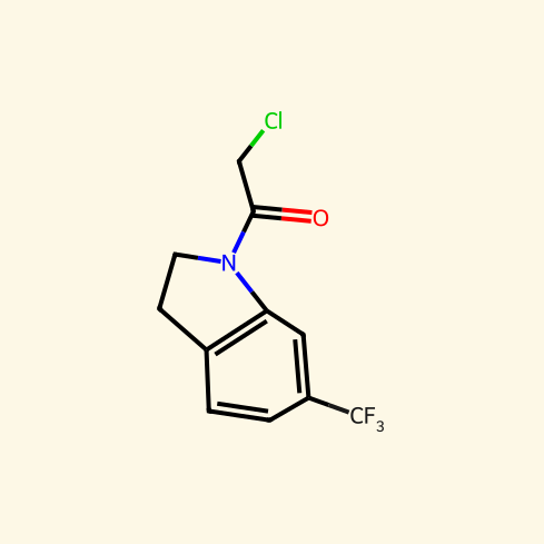 O=C(CCl)N1CCc2ccc(C(F)(F)F)cc21